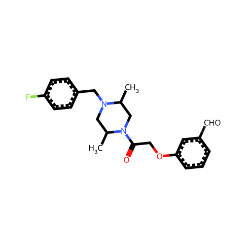 CC1CN(C(=O)COc2cccc(C=O)c2)C(C)CN1Cc1ccc(F)cc1